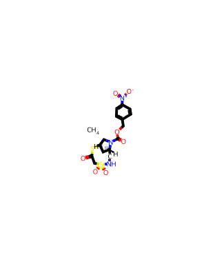 C.O=C1CS(=O)(=O)NC[C@@H]2C[C@@H](CN2C(=O)OCc2ccc([N+](=O)[O-])cc2)S1